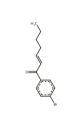 CCCC/C=C/C(=O)c1ccc(Br)cc1